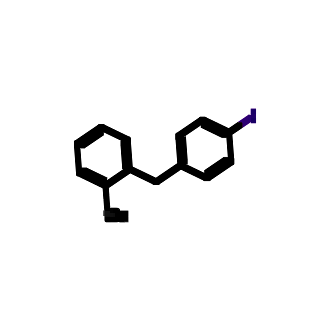 CC(C)(C)c1ccccc1Cc1ccc(I)cc1